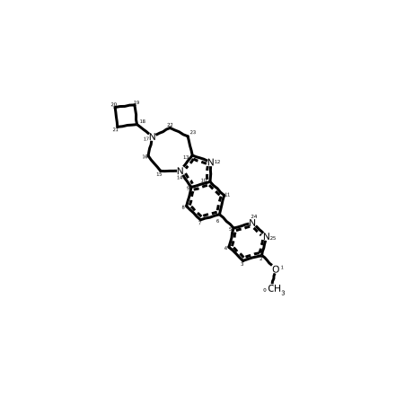 COc1ccc(-c2ccc3c(c2)nc2n3CCN(C3CCC3)CC2)nn1